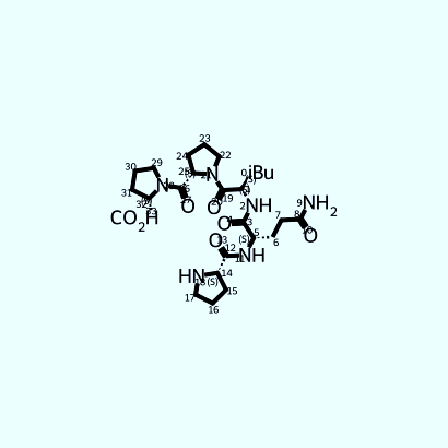 CC[C@H](C)[C@H](NC(=O)[C@H](CCC(N)=O)NC(=O)[C@@H]1CCCN1)C(=O)N1CCC[C@H]1C(=O)N1CCC[C@H]1C(=O)O